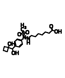 CS(=O)(=O)N(NCCCCCCC(=O)O)c1ccc(C(O)C2(O)CCC2)cc1